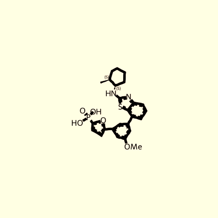 COc1cc(-c2ccc(P(=O)(O)O)o2)cc(-c2cccc3nc(N[C@H]4CCCC[C@@H]4C)sc23)c1